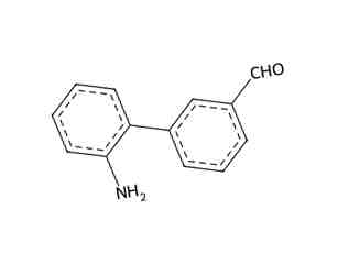 Nc1ccccc1-c1cccc(C=O)c1